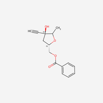 C#C[C@@]1(O)C[C@@H](COC(=O)c2ccccc2)OC1C